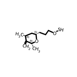 C=C1[C@H](C)C[C@H](CCCOS)O[C@@H]1C